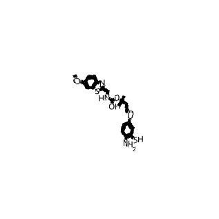 COc1ccc2nc(CNC(O)OC(C)(C)CCOc3ccc(N)c(S)c3)sc2c1